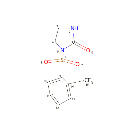 O=C1NCCN1S(=O)(=O)c1ccccc1C(F)(F)F